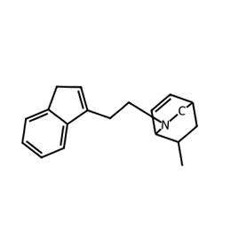 CC1CC2C=CC1N(CCC1=CCc3ccccc31)C2